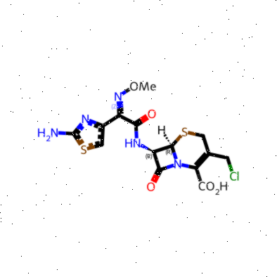 CO/N=C(\C(=O)N[C@@H]1C(=O)N2C(C(=O)O)=C(CCl)CS[C@H]12)c1csc(N)n1